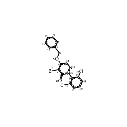 O=c1c(Br)c(OCc2ccccc2)cnn1-c1c(Cl)cccc1Cl